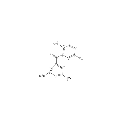 COc1cc(OC)nc(C(=O)c2cc(F)ccc2NC(C)=O)n1